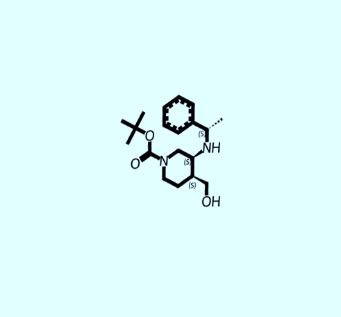 C[C@H](N[C@@H]1CN(C(=O)OC(C)(C)C)CC[C@@H]1CO)c1ccccc1